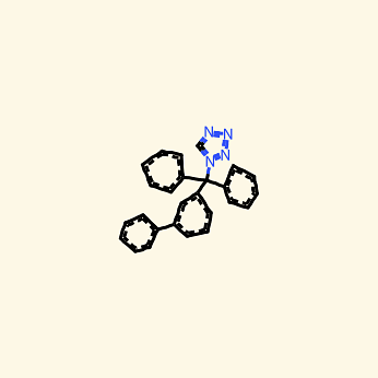 c1ccc(-c2cccc(C(c3ccccc3)(c3ccccc3)n3cnnn3)c2)cc1